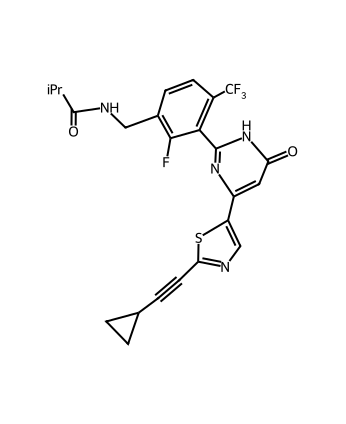 CC(C)C(=O)NCc1ccc(C(F)(F)F)c(-c2nc(-c3cnc(C#CC4CC4)s3)cc(=O)[nH]2)c1F